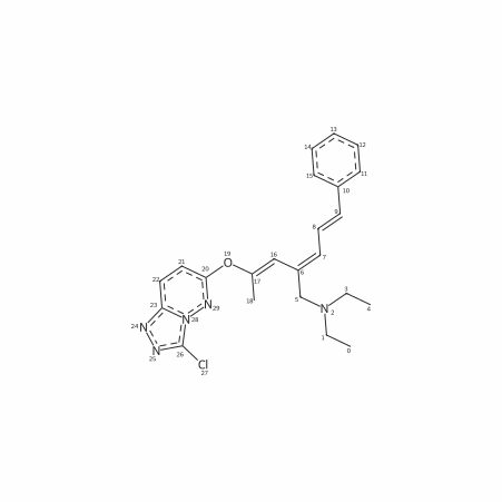 CCN(CC)CC(=C/C=C/c1ccccc1)/C=C(\C)Oc1ccc2nnc(Cl)n2n1